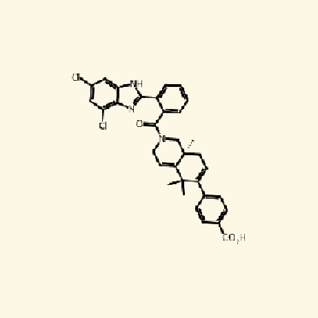 CC1(C)C(c2ccc(C(=O)O)cc2)=CC[C@]2(C)CN(C(=O)c3ccccc3-c3nc4c(Cl)cc(Cl)cc4[nH]3)CC=C12